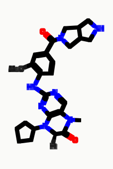 CC[C@@H]1C(=O)N(C)c2cnc(Nc3ccc(C(=O)N4CC5CNCC5C4)cc3OC)nc2N1C1CCCC1